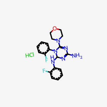 Cl.NC1=NC(Nc2ccccc2F)N(c2ccccc2F)C(N2CCOCC2)=N1